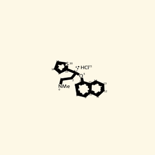 CNCC[C@](C)(Oc1cccc2ccccc12)c1cccs1.Cl